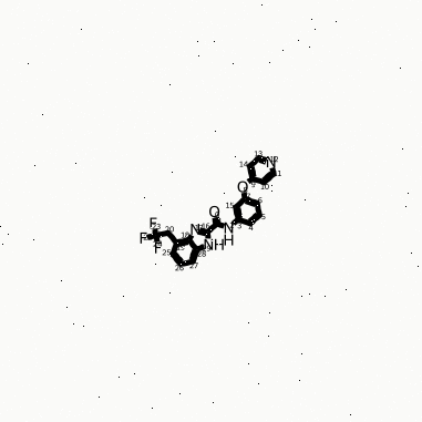 O=C(Nc1cccc(Oc2ccncc2)c1)c1nc2c(CC(F)(F)F)cccc2[nH]1